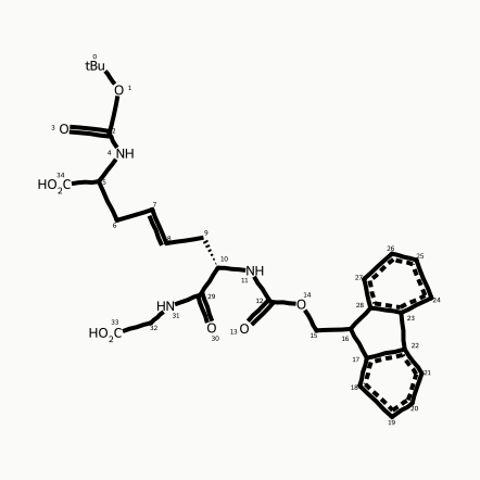 CC(C)(C)OC(=O)NC(CC=CC[C@H](NC(=O)OCC1c2ccccc2-c2ccccc21)C(=O)NCC(=O)O)C(=O)O